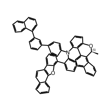 C[C@@H]1Oc2cccc(N(c3ccc(-c4cccc(-c5cccc6ccccc56)c4)cc3)c3ccccc3-c3cccc4c3oc3c5ccccc5ccc43)c2-c2ccc3ccccc3c21